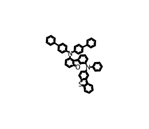 c1ccc(-c2ccc(N(c3ccc(-c4ccccc4)cc3)c3cccc4oc5c(N(c6ccccc6)c6ccc7sc8ccccc8c7c6)cccc5c34)cc2)cc1